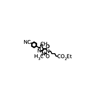 CCOC(=O)CCCCn1c(=O)c2c(nc(-c3ccc(C#N)cc3)n2C)n(C)c1=O